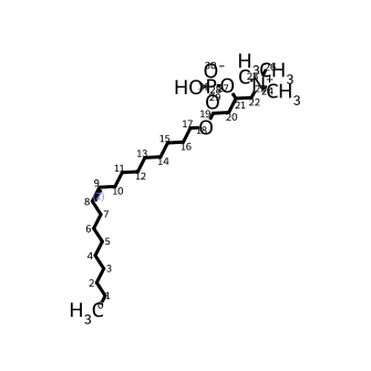 CCCCCCCC/C=C\CCCCCCCCOCCC(C[N+](C)(C)C)OP(=O)([O-])O